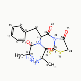 CC(N)C(=O)N(C(=O)C(C)N)C(Cc1ccccc1)C(=O)N1C(=O)CSC1=S